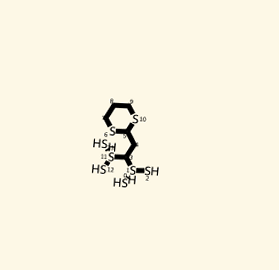 S[SH](S)C(CC1SCCCS1)[SH](S)S